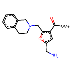 COC(=O)c1cc(CN)oc1CN1CCc2ccccc2C1